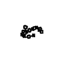 N#Cc1ccc(Cn2cncc2CN(C(=O)c2ccccc2)c2ccc(N3CCN(Cc4ccc(Cl)s4)CC3)cc2)cc1